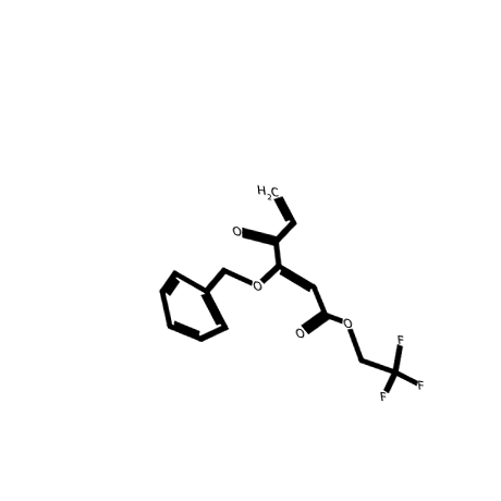 C=CC(=O)/C(=C/C(=O)OCC(F)(F)F)OCc1ccccc1